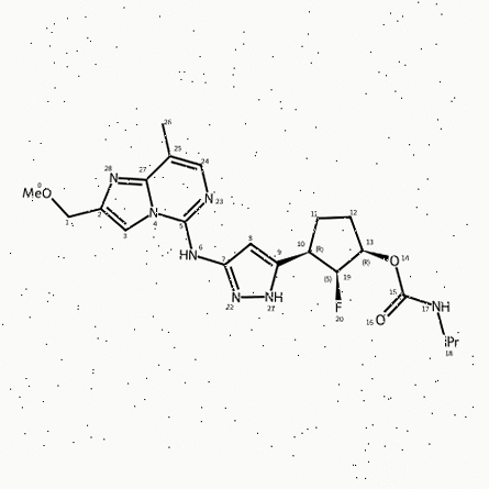 COCc1cn2c(Nc3cc([C@H]4CC[C@@H](OC(=O)NC(C)C)[C@H]4F)[nH]n3)ncc(C)c2n1